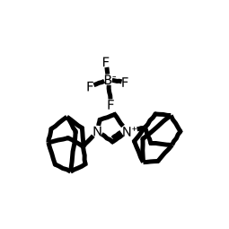 C1=[N+](C23CC4CC(CC(C4)C2)C3)CCN1C12CC3CC(CC(C3)C1)C2.F[B-](F)(F)F